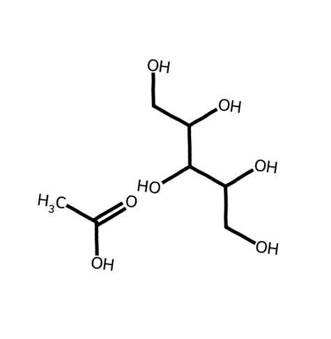 CC(=O)O.OCC(O)C(O)C(O)CO